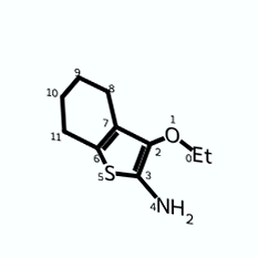 CCOc1c(N)sc2c1CCCC2